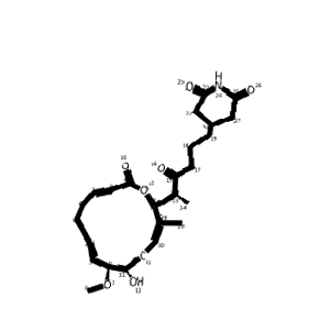 CO[C@H]1/C=C/CC/C=C/C(=O)OC([C@H](C)C(=O)CCCC2CC(=O)NC(=O)C2)/C(C)=C\C[C@@H]1O